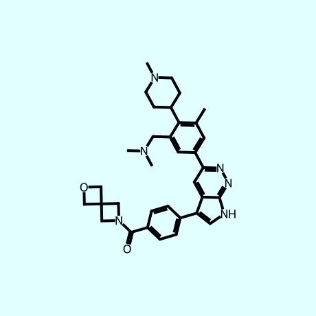 Cc1cc(-c2cc3c(-c4ccc(C(=O)N5CC6(COC6)C5)cc4)c[nH]c3nn2)cc(CN(C)C)c1C1CCN(C)CC1